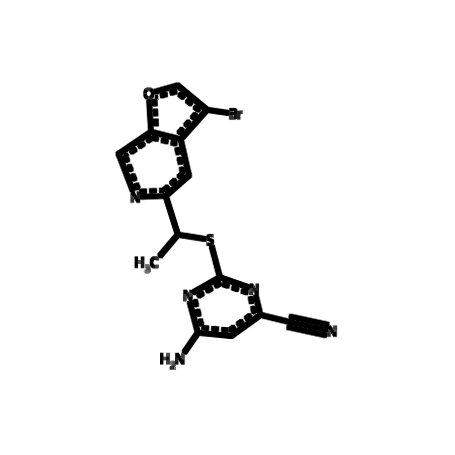 CC(Sc1nc(N)cc(C#N)n1)c1cc2c(Br)coc2cn1